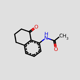 CC(=O)Nc1cccc2c1C(=O)CCC2